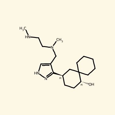 CNCCN(C)Cc1c[nH]nc1[C@@H]1CC[C@@H](O)C2(CCCCC2)C1